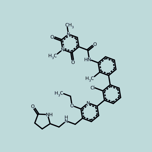 CCOc1nc(-c2cccc(-c3cccc(NC(=O)c4cn(C)c(=O)n(C)c4=O)c3C)c2Cl)ccc1CNCC1CCC(=O)N1